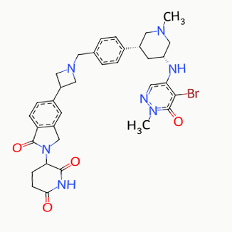 CN1C[C@H](Nc2cnn(C)c(=O)c2Br)C[C@H](c2ccc(CN3CC(c4ccc5c(c4)CN(C4CCC(=O)NC4=O)C5=O)C3)cc2)C1